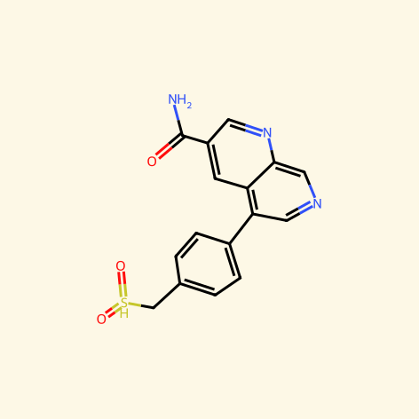 NC(=O)c1cnc2cncc(-c3ccc(C[SH](=O)=O)cc3)c2c1